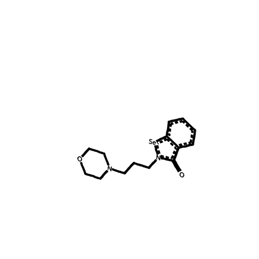 O=c1c2ccccc2[se]n1CCCN1CCOCC1